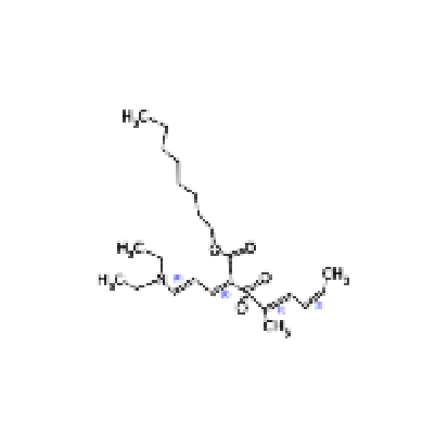 C/C=C\C=C(/C)S(=O)(=O)/C(=C/C=C/N(CC)CC)C(=O)OCCCCCCCC